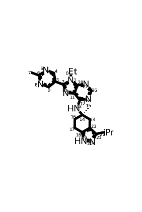 CCn1c(-c2cnc(C)nc2)nc2c(N[C@]3(C)CCc4[nH]nc(C(C)C)c4C3)ncnc21